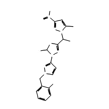 Cc1cc([N+](=O)[O-])nn1C(C)C1=NN(c2ccn(Cc3ccccc3Cl)n2)C(N)S1